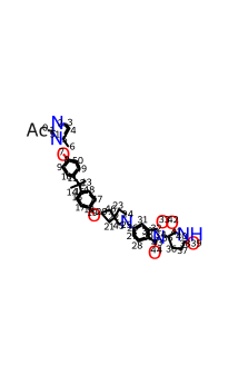 CC(=O)c1nccc(COc2ccc(C(C)(C)c3ccc(OC4CC5(CCN(c6ccc7c(c6)C(=O)N(C6CCC(=O)NC6=O)C7=O)C5)C4)cc3)cc2)n1